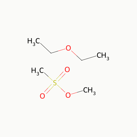 CCOCC.COS(C)(=O)=O